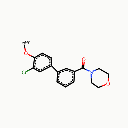 CCCOc1ccc(-c2cccc(C(=O)N3CCOCC3)c2)cc1Cl